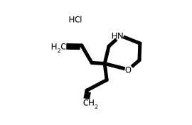 C=CCC1(CC=C)CNCCO1.Cl